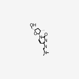 C[C@H]1C[C@@H](CO)O[C@H]1n1ccc(/N=C/N(C)C)nc1=O